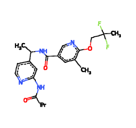 Cc1cc(C(=O)NC(C)c2ccnc(NC(=O)C(C)C)c2)cnc1OCC(C)(F)F